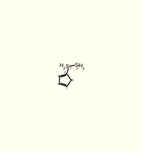 [SiH3][SiH2]C1=CC=CC1